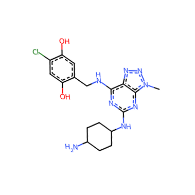 Cn1nnc2c(NCc3cc(O)c(Cl)cc3O)nc(NC3CCC(N)CC3)nc21